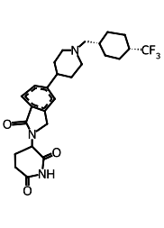 O=C1CCC(N2Cc3cc(C4CCN(C[C@H]5CC[C@@H](C(F)(F)F)CC5)CC4)ccc3C2=O)C(=O)N1